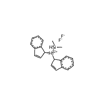 C[SiH](C)[Hf+2]([CH]1C=Cc2ccccc21)[CH]1C=Cc2ccccc21.[F-].[F-]